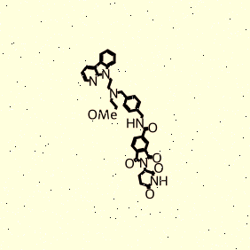 COCCN(CCn1c2ccccc2c2cccnc21)Cc1ccc(CNC(=O)c2ccc3c(c2)C(=O)N(C2CCC(=O)NC2=O)C3=O)cc1